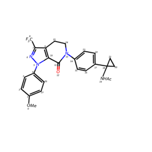 COc1ccc(-n2nc(C(F)(F)F)c3c2C(=O)N(c2ccc(C4(NC(C)=O)CC4)cc2)CC3)cc1